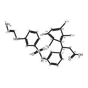 NN=CNc1cccc(S(=O)(=O)Nc2cccc(C(CC(=O)O)c3c(F)c(F)cc(F)c3F)c2)c1